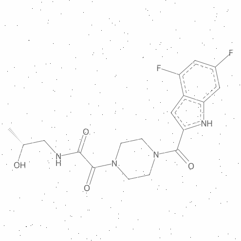 C[C@@H](O)CNC(=O)C(=O)N1CCN(C(=O)c2cc3c(F)cc(F)cc3[nH]2)CC1